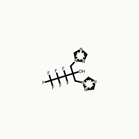 OC(Cn1cncn1)(Cn1cncn1)C(F)(F)C(F)(F)C(F)(F)F